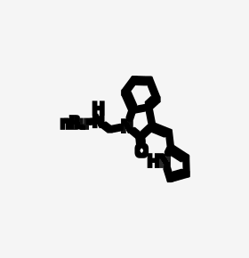 CCCCNCN1C(=O)C(=Cc2ccc[nH]2)c2ccccc21